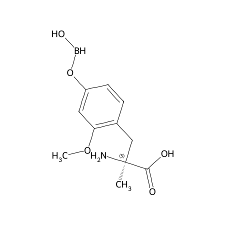 COc1cc(OBO)ccc1C[C@](C)(N)C(=O)O